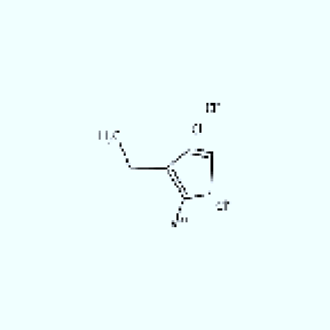 CCC1=[C]([V+3])CC=C1.[Cl-].[Cl-].[Cl-]